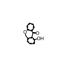 O=C1c2ccccc2OCc2cccc(O)c21